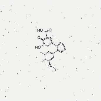 CCOC1=CC(c2ccccc2-n2cc(O)c(=O)c(C(=O)O)n2)=CC(C)C1C